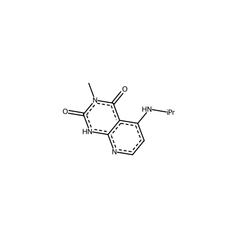 CC(C)Nc1ccnc2[nH]c(=O)n(C)c(=O)c12